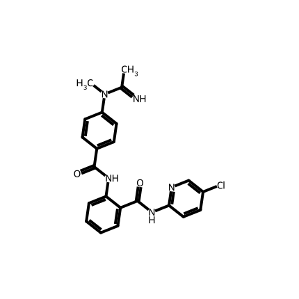 CC(=N)N(C)c1ccc(C(=O)Nc2ccccc2C(=O)Nc2ccc(Cl)cn2)cc1